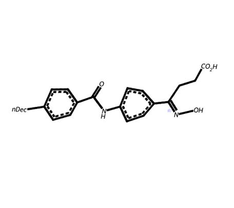 CCCCCCCCCCc1ccc(C(=O)Nc2ccc(/C(CCC(=O)O)=N/O)cc2)cc1